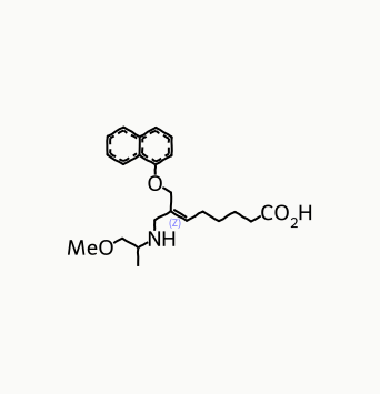 COCC(C)NC/C(=C/CCCCC(=O)O)COc1cccc2ccccc12